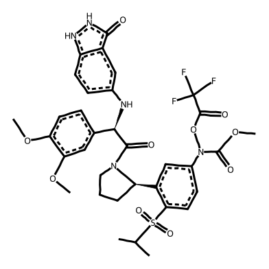 COC(=O)N(OC(=O)C(F)(F)F)c1ccc(S(=O)(=O)C(C)C)c([C@H]2CCCN2C(=O)[C@H](Nc2ccc3[nH][nH]c(=O)c3c2)c2ccc(OC)c(OC)c2)c1